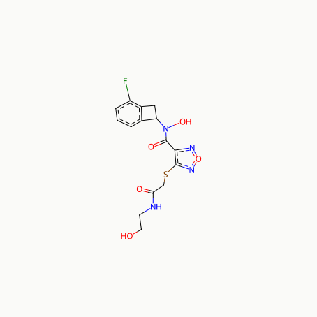 O=C(CSc1nonc1C(=O)N(O)C1Cc2c(F)cccc21)NCCO